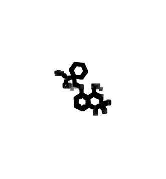 CC(C)(C)N(C(=O)O)C1(COc2cccc3c2C(N)=NS(=O)(=O)N3)CCCCC1